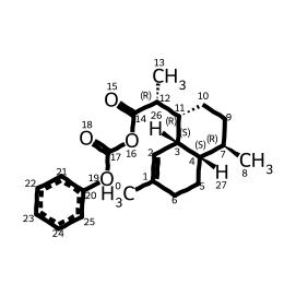 CC1=C[C@H]2[C@@H](CC1)[C@H](C)CC[C@H]2[C@@H](C)C(=O)OC(=O)Oc1ccccc1